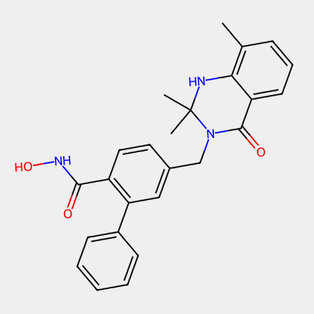 Cc1cccc2c1NC(C)(C)N(Cc1ccc(C(=O)NO)c(-c3ccccc3)c1)C2=O